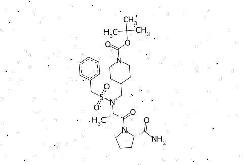 C[C@@H](C(=O)N1CCC[C@H]1C(N)=O)N(CC1CCN(C(=O)OC(C)(C)C)CC1)S(=O)(=O)Cc1ccccc1